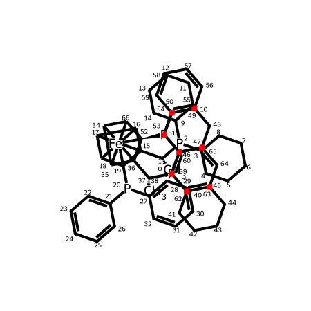 C[C@@H](P(C1CCCCC1)C1CCCCC1)[C]12[CH]3[CH]4[CH]5[C]1(P(c1ccccc1)c1ccccc1)[Fe]43521678[CH]2[CH]1[C]6([C@@H](C)P(C1CCCCC1)C1CCCCC1)[C@@]7(P(c1ccccc1)c1ccccc1)[CH]28